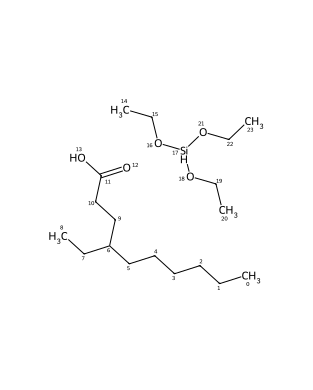 CCCCCCC(CC)CCC(=O)O.CCO[SiH](OCC)OCC